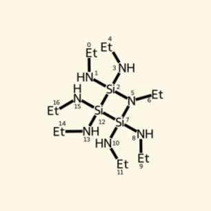 CCN[Si]1(NCC)N(CC)[Si](NCC)(NCC)[Si]1(NCC)NCC